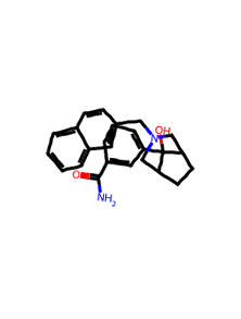 NC(=O)c1cccc(C2(O)C3CCC2CN(Cc2ccc4ccccc4c2)C3)c1